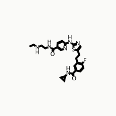 CCNCCNC(=O)c1ccc(Nc2ncc(CCc3cc(C(=O)NC4CC4)ccc3F)s2)nc1